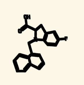 O=C(O)C1Cc2cc(F)ccc2N1Cc1cccc2ccccc12